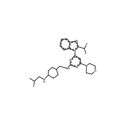 CC(F)CNC1CCC(CNc2nc(N3CCOCC3)cc(-n3c(C(F)F)nc4ccccc43)n2)CC1